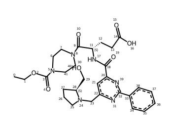 CCOC(=O)N1CCN(C(=O)[C@H](CCC(=O)O)NC(=O)c2cc(CN3CCC[C@H]3CO)nc(-c3ccccc3)n2)CC1